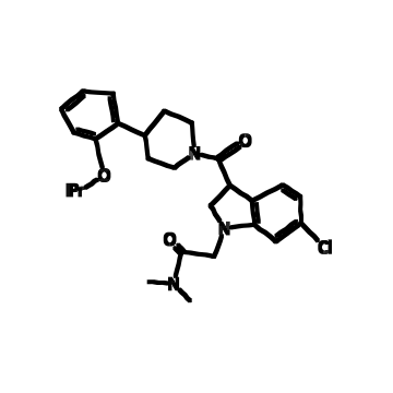 CC(C)Oc1ccccc1C1CCN(C(=O)C2CN(CC(=O)N(C)C)c3cc(Cl)ccc32)CC1